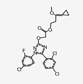 COC(CCOC(=O)COc1nc(-c2ccc(Cl)cc2Cl)n(-c2ccc(Cl)cc2F)n1)=C1CC1